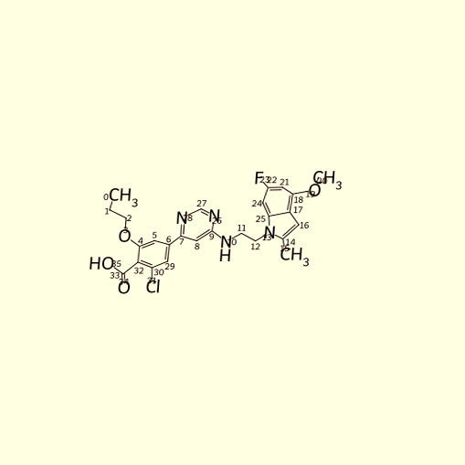 CCCOc1cc(-c2cc(NCCn3c(C)cc4c(OC)cc(F)cc43)ncn2)cc(Cl)c1C(=O)O